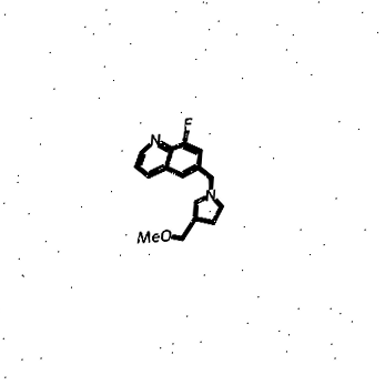 COCC1CCN(Cc2cc(F)c3ncccc3c2)C1